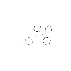 O=Cc1ccc(OCC(c2ccccc2)(c2ccccc2)c2ccccc2)cc1